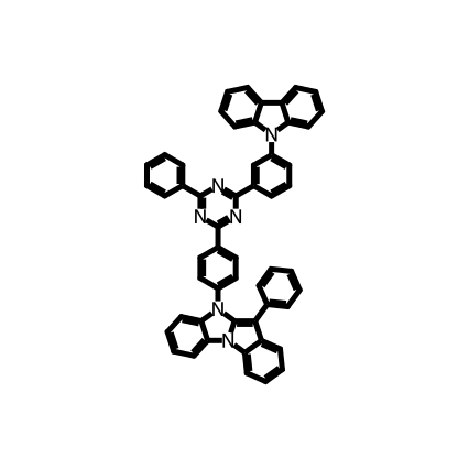 c1ccc(-c2nc(-c3ccc(-n4c5ccccc5n5c6ccccc6c(-c6ccccc6)c45)cc3)nc(-c3cccc(-n4c5ccccc5c5ccccc54)c3)n2)cc1